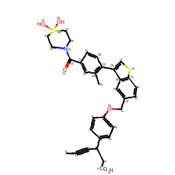 CC#CC(CC(=O)O)c1ccc(OCc2ccc3scc(-c4ccc(C(=O)N5CCS(O)(O)CC5)cc4C)c3c2)cc1